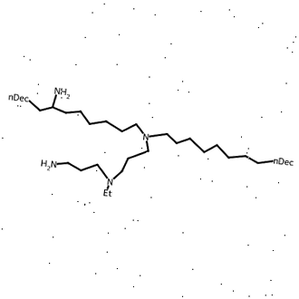 CCCCCCCCCCCCCCCCCCN(CCCCCCC(N)CCCCCCCCCCC)CCCN(CC)CCCN